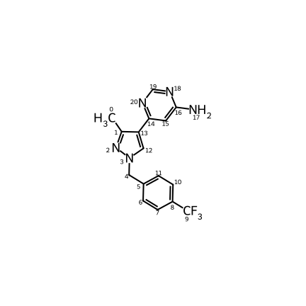 Cc1nn(Cc2ccc(C(F)(F)F)cc2)cc1-c1cc(N)ncn1